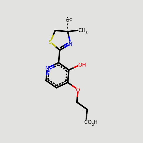 CC(=O)[C@@]1(C)CSC(c2nccc(OCCC(=O)O)c2O)=N1